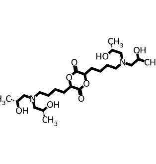 CC(O)CN(CCCCC1OC(=O)C(CCCCN(C[C@@H](C)O)C[C@@H](C)O)OC1=O)C[C@@H](C)O